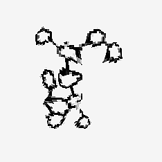 c1ccc(-c2cccc(-c3nc(-c4ccccc4)nc(-c4ccc(-c5nn(-c6ccccc6)c6c5c(-c5ccccc5)cc5ccccc56)cc4)n3)c2)cc1